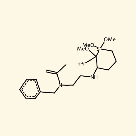 C=C(C)N(CCNC1CCC[Si](OC)(OC)C1(CCC)OC)Cc1ccccc1